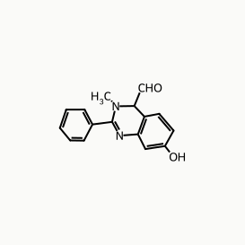 CN1C(c2ccccc2)=Nc2cc(O)ccc2C1C=O